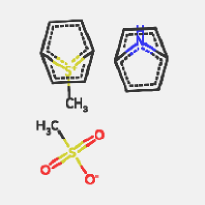 CS(=O)(=O)[O-].C[s+]1c2ccc1cc2.c1cc2ccc1[nH]2